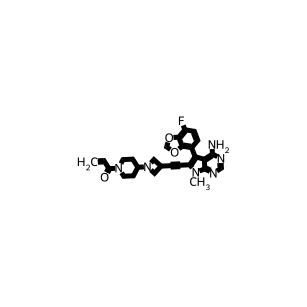 C=CC(=O)N1CCC(N2CC(C#Cc3c(-c4ccc(F)c5c4OCO5)c4c(N)ncnc4n3C)C2)CC1